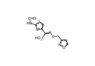 O=CNc1nc(C(=NOCc2ccon2)C(=O)O)cs1